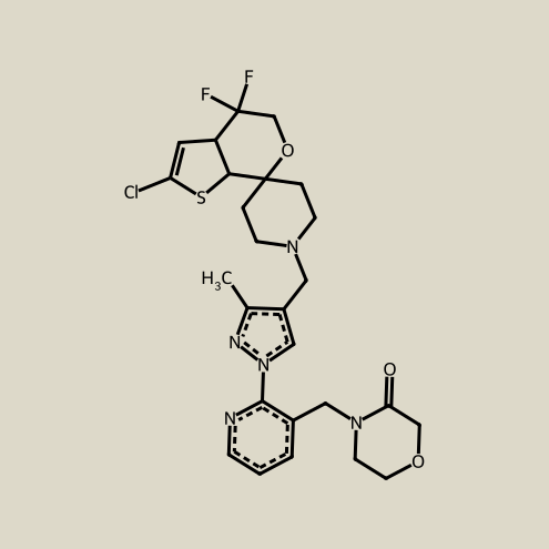 Cc1nn(-c2ncccc2CN2CCOCC2=O)cc1CN1CCC2(CC1)OCC(F)(F)C1C=C(Cl)SC12